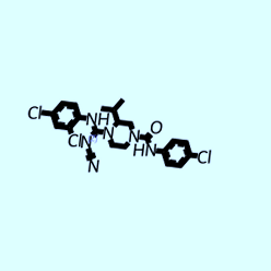 CC(C)C1CN(C(=O)Nc2ccc(Cl)cc2)CCN1/C(=N\C#N)Nc1ccc(Cl)cc1Cl